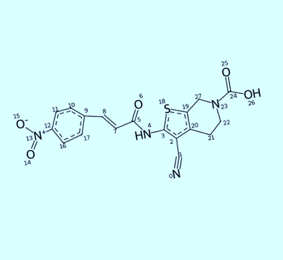 N#Cc1c(NC(=O)C=Cc2ccc([N+](=O)[O-])cc2)sc2c1CCN(C(=O)O)C2